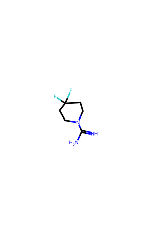 N=C(N)N1CCC(F)(F)CC1